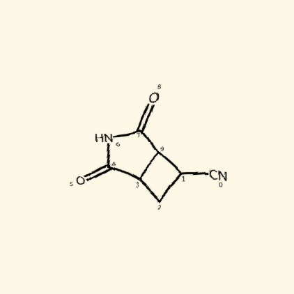 N#CC1CC2C(=O)NC(=O)C12